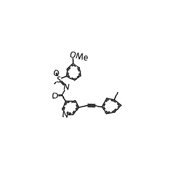 COc1cccc(S(C)(=O)=NC(=O)c2cncc(C#Cc3cccc(C)c3)c2)c1